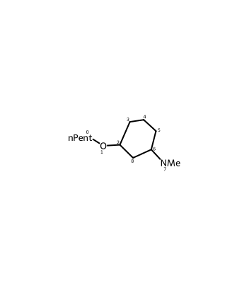 CCCCCOC1CCCC(NC)C1